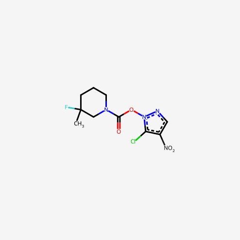 CC1(F)CCCN(C(=O)On2ncc([N+](=O)[O-])c2Cl)C1